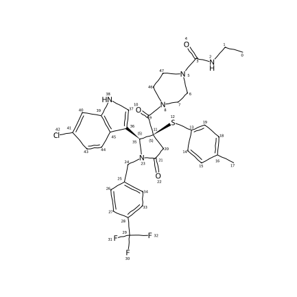 CCNC(=O)N1CCN(C(=O)[C@]2(Sc3ccc(C)cc3)CC(=O)N(Cc3ccc(C(F)(F)F)cc3)[C@H]2c2c[nH]c3cc(Cl)ccc23)CC1